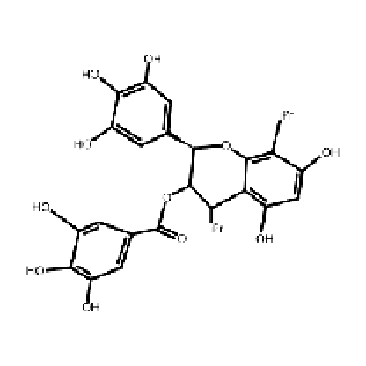 CC(C)c1c(O)cc(O)c2c1O[C@H](c1cc(O)c(O)c(O)c1)C(OC(=O)c1cc(O)c(O)c(O)c1)C2C(C)C